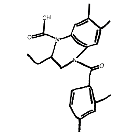 CCC1CN(C(=O)c2ccc(C)cc2C)c2cc(C)c(C)cc2N1C(=O)O